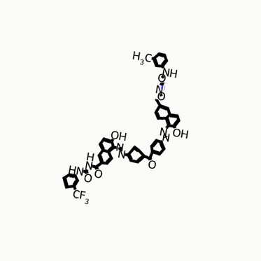 Cc1cccc(NO/C=N/OCc2ccc3c(N=Nc4ccc(C(=O)c5ccc(N=Nc6c(O)ccc7cc(C(=O)NC(=O)Nc8cccc(C(F)(F)F)c8)ccc67)cc5)cc4)c(O)ccc3c2)c1